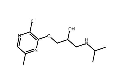 Cc1cnc(Cl)c(OCC(O)CNC(C)C)n1